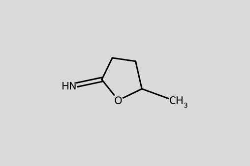 CC1CCC(=N)O1